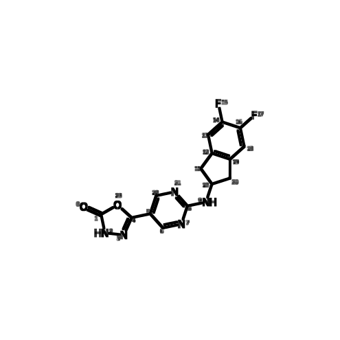 O=c1[nH]nc(-c2cnc(NC3Cc4cc(F)c(F)cc4C3)nc2)o1